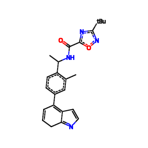 Cc1cc(C2=C3C=CN=C3CC=C2)ccc1C(C)NC(=O)c1nc(C(C)(C)C)no1